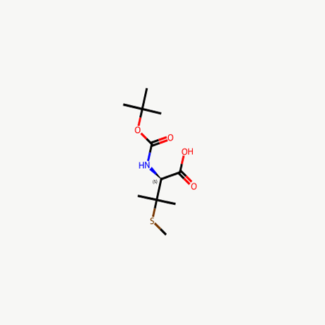 CSC(C)(C)[C@@H](NC(=O)OC(C)(C)C)C(=O)O